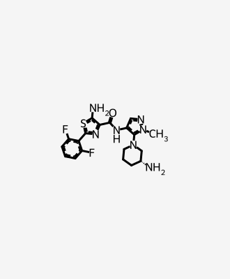 Cn1ncc(NC(=O)c2nc(-c3c(F)cccc3F)sc2N)c1N1CCC[C@@H](N)C1